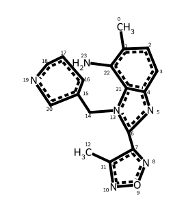 Cc1ccc2nc(-c3nonc3C)n(Cc3cccnc3)c2c1N